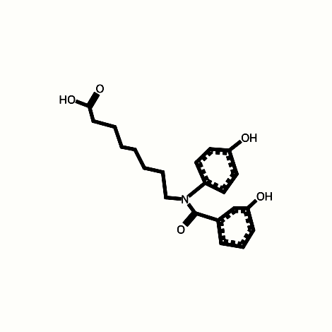 O=C(O)CCCCCCCN(C(=O)c1cccc(O)c1)c1ccc(O)cc1